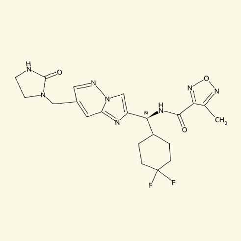 Cc1nonc1C(=O)N[C@H](c1cn2ncc(CN3CCNC3=O)cc2n1)C1CCC(F)(F)CC1